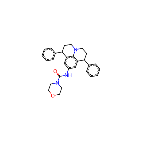 O=C(Nc1cc2c3c(c1)C(c1ccccc1)CCN3CCC2c1ccccc1)N1CCOCC1